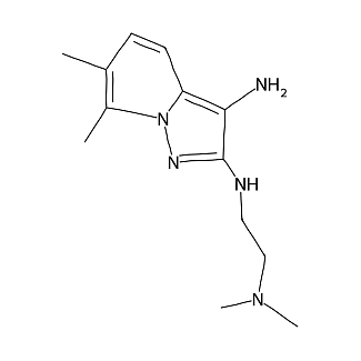 Cc1ccc2c(N)c(NCCN(C)C)nn2c1C